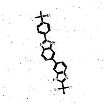 CCC(C)(C)c1ccc(-c2nc3ccc(-c4ccc5nc(C(C)(CC)CC)[nH]c5c4)cc3[nH]2)cc1